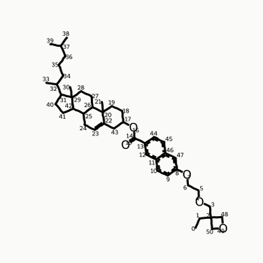 CCC1(COCCOc2ccc3cc(C(=O)OC4CCC5(C)C(=CCC6C5CCC5(C)C(C(C)CCCC(C)C)CCC65)C4)ccc3c2)COC1